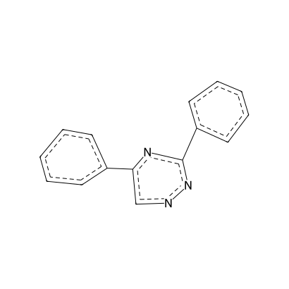 c1ccc(-c2cnnc(-c3ccccc3)n2)cc1